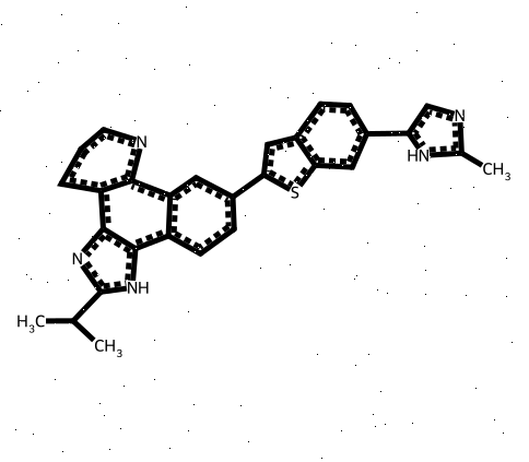 Cc1ncc(-c2ccc3cc(-c4ccc5c(c4)c4ncccc4c4nc(C(C)C)[nH]c54)sc3c2)[nH]1